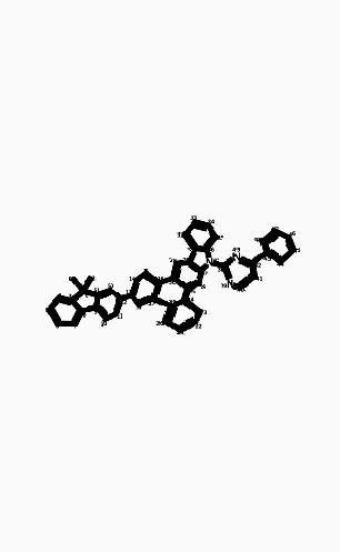 CC1(C)c2ccccc2-c2ccc(-c3ccc4c(c3)c3ccccc3c3cc5c(cc43)c3ccccc3n5-c3nccc(-c4ccccc4)n3)cc21